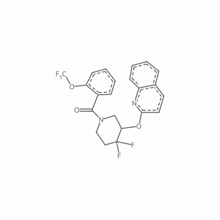 O=C(c1ccccc1OC(F)(F)F)N1CCC(F)(F)C(Oc2ccc3ccccc3n2)C1